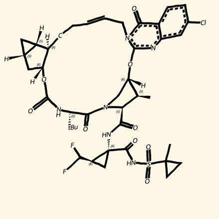 C[C@@H]1[C@@H]2CN(C(=O)[C@H](C(C)(C)C)NC(=O)O[C@@H]3C[C@@H]4C[C@@H]4[C@H]3CCC=CCn3c(nc4cc(Cl)ccc4c3=O)O2)[C@@H]1C(=O)N[C@]1(C(=O)NS(=O)(=O)C2(C)CC2)C[C@H]1C(F)F